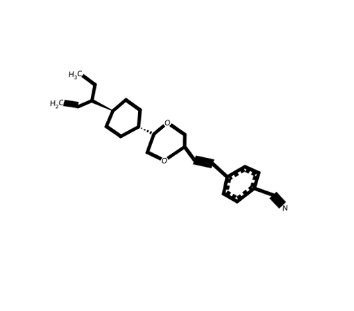 C=CC(CC)[C@H]1CC[C@H](C2COC(C#Cc3ccc(C#N)cc3)CO2)CC1